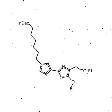 CCCCCCCCCCCCCCCCc1csc(-c2nc(CC(=O)OCC)c(OCC)o2)c1